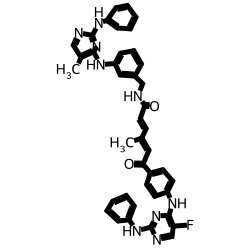 CC(/C=C/C(=O)NCc1cccc(Nc2nc(Nc3ccccc3)ncc2C)c1)=C\C(=O)c1ccc(Nc2nc(Nc3ccccc3)ncc2F)cc1